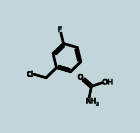 Fc1cccc(CCl)c1.NC(=O)O